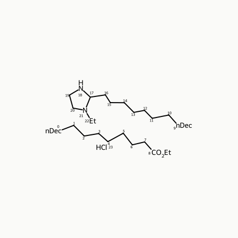 CCCCCCCCCCCCCCCCCC(=O)OCC.CCCCCCCCCCCCCCCCCC1NCCN1CC.Cl